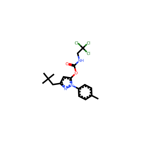 Cc1ccc(-n2nc(CC(C)(C)C)cc2OC(=O)NCC(Cl)(Cl)Cl)cc1